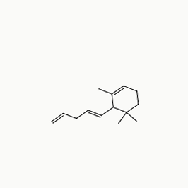 C=CCC=CC1C(C)=CCCC1(C)C